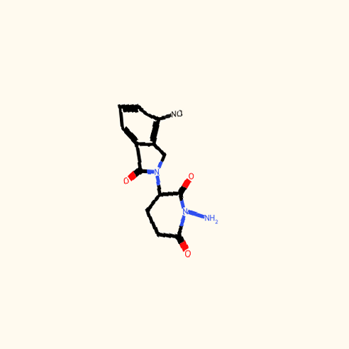 NN1C(=O)CCC(N2Cc3c(N=O)cccc3C2=O)C1=O